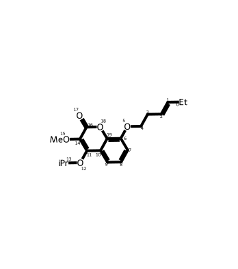 CCC=CCCOc1cccc2c(OC(C)C)c(OC)c(=O)oc12